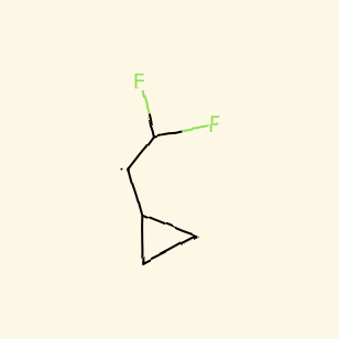 FC(F)[CH]C1CC1